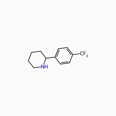 FC(F)(F)c1ccc(C2CCCCN2)cc1